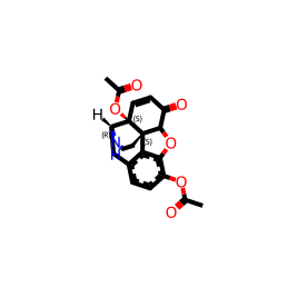 CC(=O)Oc1ccc2c3c1OC1C(=O)C=C[C@@]4(OC(C)=O)[C@@H](C2)NCC[C@]314